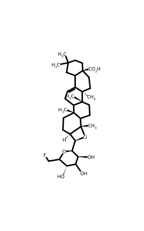 CC1(C)CC[C@]2(C(=O)O)CC[C@]3(C)C(=CCC4[C@@]5(C)CC[C@@H]6[C@H]([C@@H]7OC(CF)[C@@H](O)C(O)[C@@H]7O)O[C@@]6(C)C5CC[C@]43C)C2C1